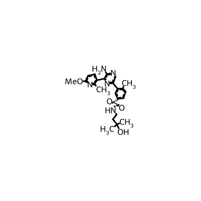 COc1ccc(-c2nc(-c3cc(S(=O)(=O)NCCC(C)(C)O)ccc3C)cnc2N)c(C)n1